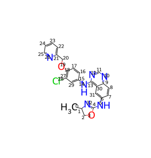 CC1COC(Nc2ccc3ncnc(Nc4ccc(OCc5ccccn5)c(Cl)c4)c3c2)=N1